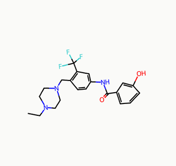 CCN1CCN(Cc2ccc(NC(=O)c3cccc(O)c3)cc2C(F)(F)F)CC1